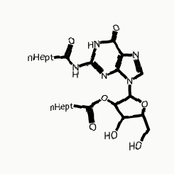 CCCCCCCC(=O)Nc1nc2c(ncn2C2OC(CO)C(O)C2OC(=O)CCCCCCC)c(=O)[nH]1